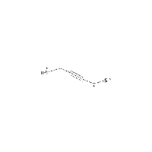 CCCCC#CC[S]